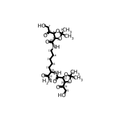 CC1(C)OC(C(=O)CO)C(C(=O)NCCCCCC(NC(=O)C2OC(C)(C)OC2C(=O)CO)C(N)=O)O1